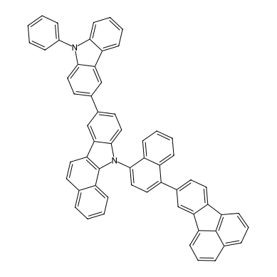 c1ccc(-n2c3ccccc3c3cc(-c4ccc5c(c4)c4ccc6ccccc6c4n5-c4ccc(-c5ccc6c(c5)-c5cccc7cccc-6c57)c5ccccc45)ccc32)cc1